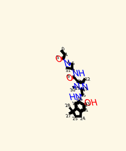 C=CC(=O)N1CC(NC(=O)c2c(C)nc(CNc3cc4c(cc3O)CCC4(C)C)n2C)C1